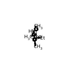 CC#Cc1ccc(-c2nnc(N[C@@H]3CCCN(C)C3)cc2C)c(OCOCC)c1